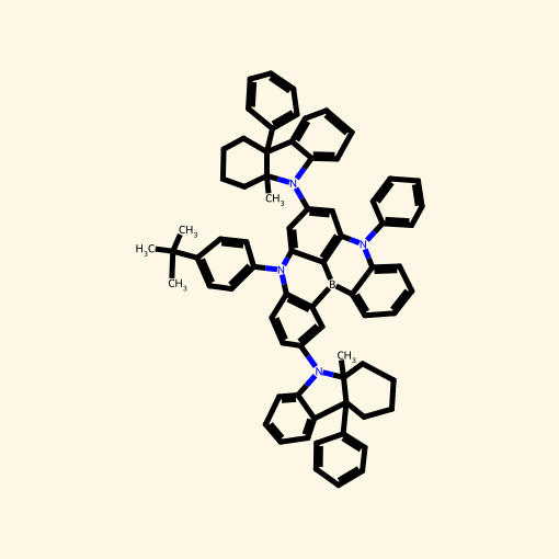 CC(C)(C)c1ccc(N2c3ccc(N4c5ccccc5C5(c6ccccc6)CCCCC45C)cc3B3c4ccccc4N(c4ccccc4)c4cc(N5c6ccccc6C6(c7ccccc7)CCCCC56C)cc2c43)cc1